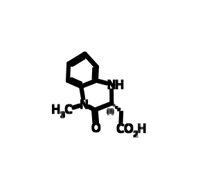 CN1C(=O)[C@@H](CC(=O)O)Nc2ccccc21